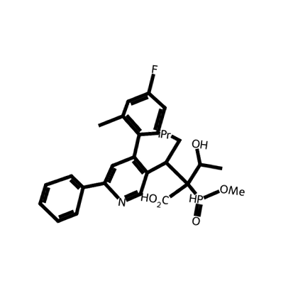 CO[PH](=O)C(C(=O)O)(C(C)O)C(CC(C)C)c1cnc(-c2ccccc2)cc1-c1ccc(F)cc1C